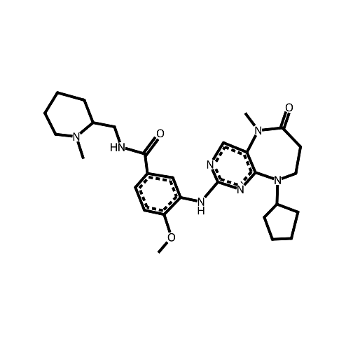 COc1ccc(C(=O)NCC2CCCCN2C)cc1Nc1ncc2c(n1)N(C1CCCC1)CCC(=O)N2C